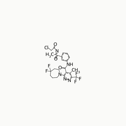 Cc1c(C(F)(F)F)nnc(N2CCCC(F)(F)CC2)c1C(=O)Nc1cccc(S(C)(=O)=NC(=O)CCl)c1